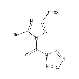 CCCCCCc1nc(Br)n(C(=O)n2cncn2)n1